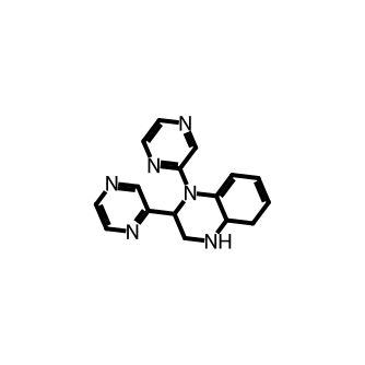 C1=CCC2NCC(c3cnccn3)N(c3cnccn3)C2=C1